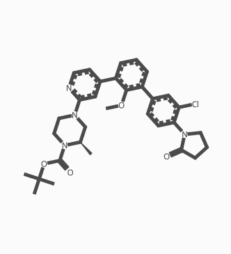 COc1c(-c2ccnc(N3CCN(C(=O)OC(C)(C)C)[C@H](C)C3)c2)cccc1-c1ccc(N2CCCC2=O)c(Cl)c1